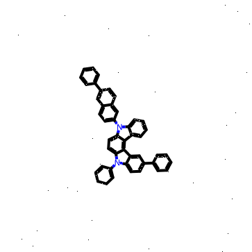 C1=CC(n2c3ccc(-c4ccccc4)cc3c3c4c5ccccc5n(-c5ccc6cc(-c7ccccc7)ccc6c5)c4ccc32)=CCC1